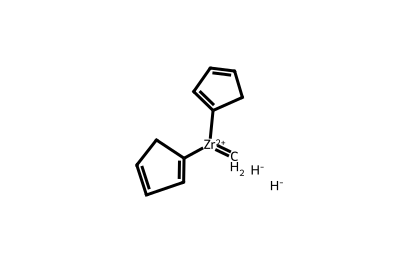 [CH2]=[Zr+2]([C]1=CC=CC1)[C]1=CC=CC1.[H-].[H-]